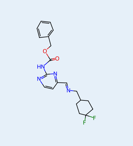 O=C(Nc1nccc(C=NCC2CCC(F)(F)CC2)n1)OCc1ccccc1